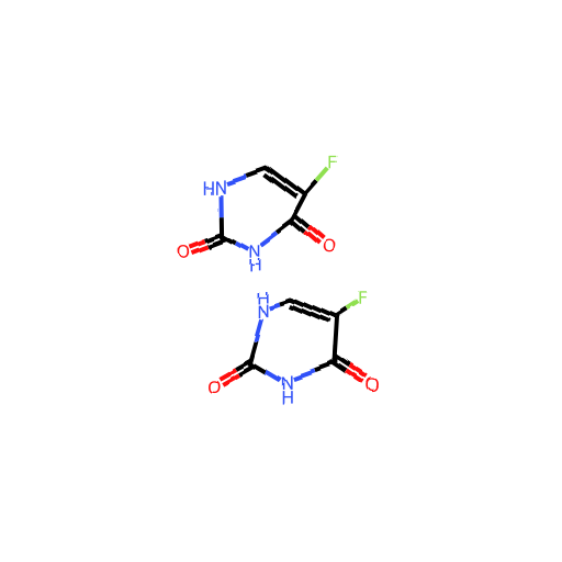 O=c1[nH]cc(F)c(=O)[nH]1.O=c1[nH]cc(F)c(=O)[nH]1